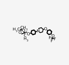 CC1(COc2ccc(N3CCC(Oc4ccc(OC(F)(F)F)cc4)CC3)cc2)COC(C)(C)O1